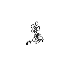 CC(C)c1cc(C(C)C)c(B2c3ccccc3[Si](C)(C)c3cc(N4c5ccccc5[Si](c5ccccc5)(c5ccccc5)c5ccccc54)ccc32)c(C(C)C)c1